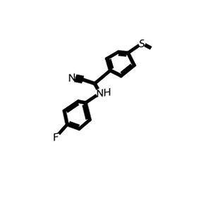 CSc1ccc(C(C#N)Nc2ccc(F)cc2)cc1